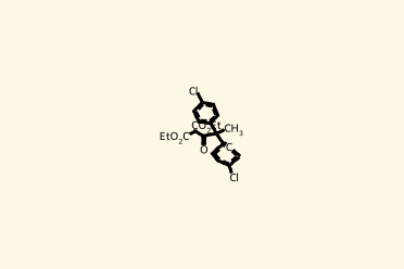 CCOC(=O)C(C(=O)OCC)C(=O)C(C)(c1ccc(Cl)cc1)c1ccc(Cl)cc1